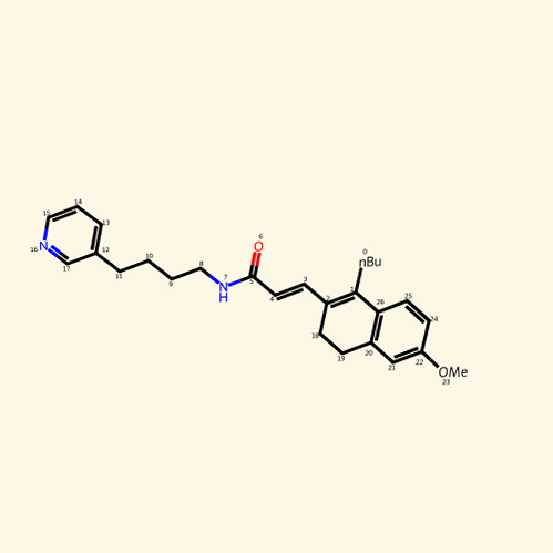 CCCCC1=C(/C=C/C(=O)NCCCCc2cccnc2)CCc2cc(OC)ccc21